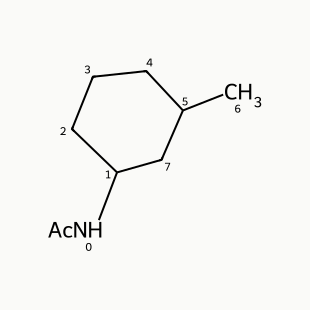 CC(=O)NC1CCCC(C)C1